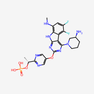 CNc1cc(F)c(F)c2c1[nH]c1nc(Oc3cnc([C@@H](C)OP(=O)(O)O)nc3)nc(N3CCC[C@H](N)C3)c12